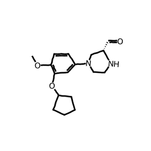 COc1ccc(N2CCN[C@@H](C=O)C2)cc1OC1CCCC1